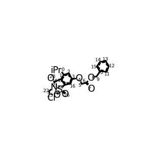 CC(C)c1cc(OCC(=O)OCc2ccccc2)cc2c1C(=O)N(CCl)S2(=O)=O